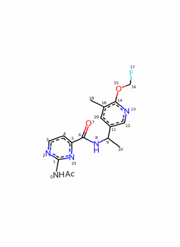 CC(=O)Nc1nccc(C(=O)NC(C)c2cnc(OCF)c(C)c2)n1